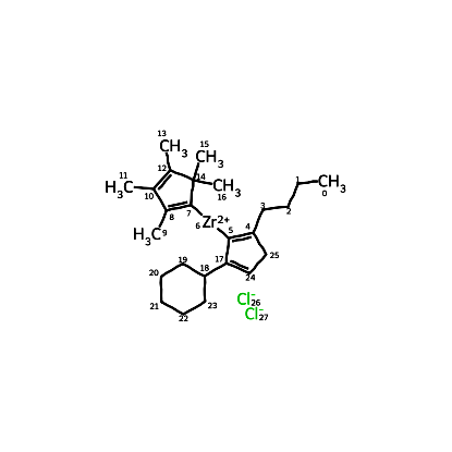 CCCCC1=[C]([Zr+2][C]2=C(C)C(C)=C(C)C2(C)C)C(C2CCCCC2)=CC1.[Cl-].[Cl-]